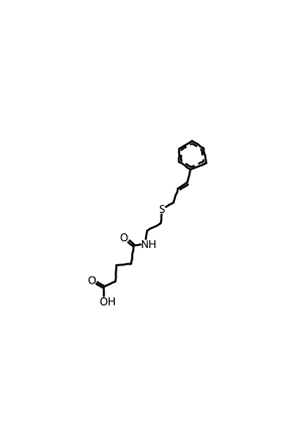 O=C(O)CCCC(=O)NCCSCC=Cc1ccccc1